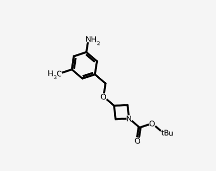 Cc1cc(N)cc(COC2CN(C(=O)OC(C)(C)C)C2)c1